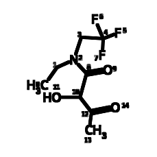 CCN(CC(F)(F)F)C(=O)C(O)C(C)=O